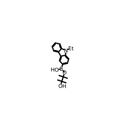 CCn1c2ccccc2c2cc(B(O)OC(C)(C)C(C)(C)O)ccc21